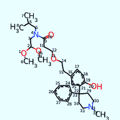 COC(CN(CC(C)C)C(=O)CCOCCc1ccc(O)c(C2(c3ccccc3)CCN(C)CC2)c1)OC